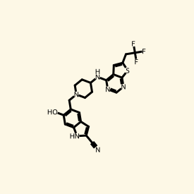 N#Cc1cc2cc(CN3CCC(Nc4ncnc5sc(CC(F)(F)F)cc45)CC3)c(O)cc2[nH]1